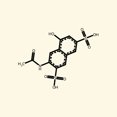 CC(=O)Nc1cc2c(O)[c]c(S(=O)(=O)O)cc2cc1S(=O)(=O)O